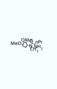 CCCC(N)C(=O)N(C)c1ccc(OC)c(OC)c1